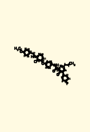 C=CCn1cc(-c2ccc(F)cc2)c(=O)c(C(=O)Nc2ncc(Oc3ccnc(NCc4ccc(OC)cc4)c3Cl)cn2)n1